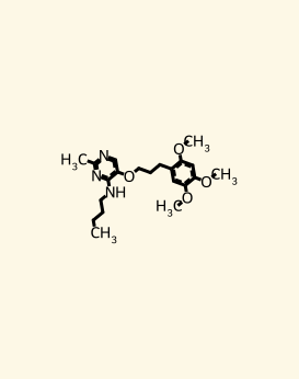 CCCCNc1nc(C)ncc1OCCCc1cc(OC)c(OC)cc1OC